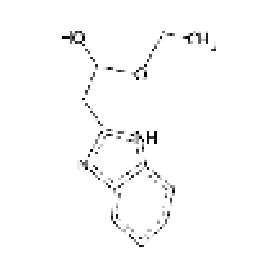 CCOC(O)Cc1nc2ccccc2[nH]1